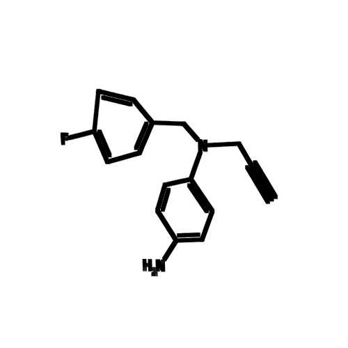 C#CCN(Cc1ccc(F)cc1)c1ccc(N)cc1